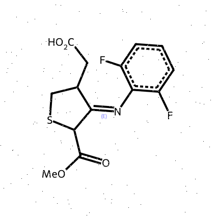 COC(=O)C1SCC(CC(=O)O)/C1=N\c1c(F)cccc1F